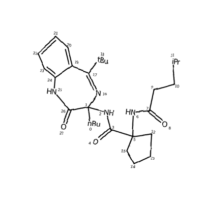 CCCCC1(NC(=O)C2(NC(=O)CCC(C)C)CCCC2)N=C(C(C)(C)C)c2ccccc2NC1=O